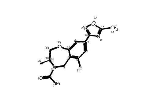 CC(C)C(=O)N1Cc2c(F)cc(-c3noc(C(F)(F)F)n3)cc2OC[C@@H]1C